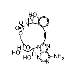 Nc1ncnc2c1nc1n2[C@@H]2O[C@H](COS(=O)(=O)NC(=O)c3c(O)cccc3/C=C\1)[C@@H](O)[C@H]2O